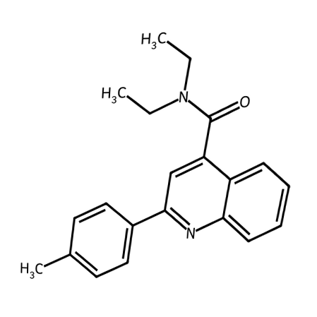 CCN(CC)C(=O)c1cc(-c2ccc(C)cc2)nc2ccccc12